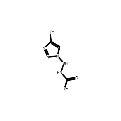 CC(C)C(=O)NBn1cc(C(C)C)nn1